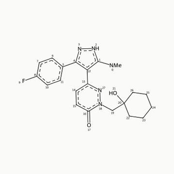 CNc1[nH]nc(-c2ccc(F)cc2)c1-c1ccc(=O)n(CC2(O)CCCCC2)n1